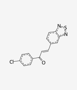 O=C(/C=C/c1ccc2nsnc2c1)c1ccc(Cl)cc1